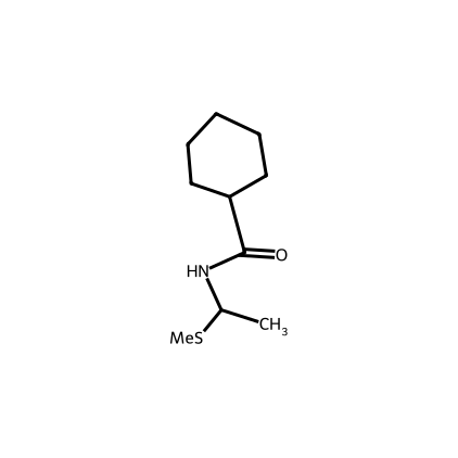 CSC(C)NC(=O)C1CCCCC1